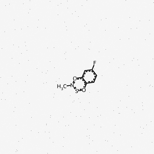 Cn1oc2cc(F)ccc2os1